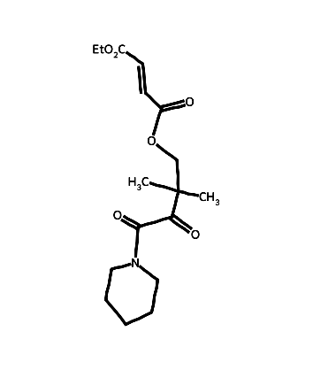 CCOC(=O)/C=C/C(=O)OCC(C)(C)C(=O)C(=O)N1CCCCC1